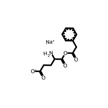 NC(CCC(=O)[O-])C(=O)OC(=O)Cc1ccccc1.[Na+]